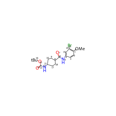 COc1ccc(NC(=O)C2CCC(NC(=O)OC(C)(C)C)CC2)cc1Br